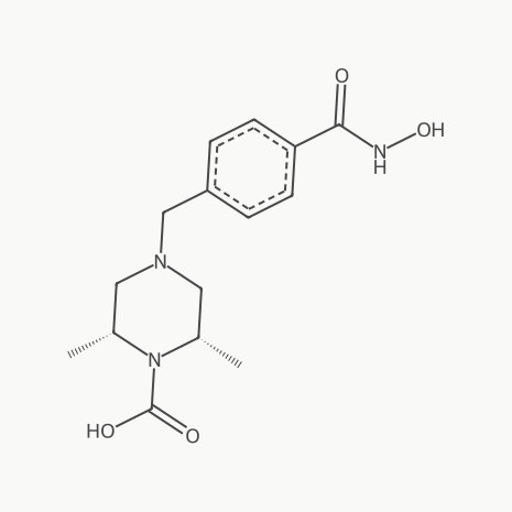 C[C@@H]1CN(Cc2ccc(C(=O)NO)cc2)C[C@H](C)N1C(=O)O